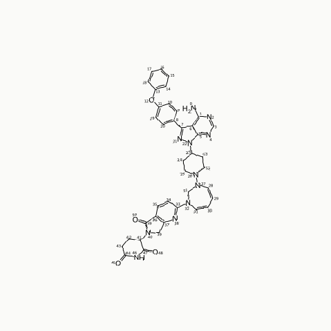 Nc1ncnc2c1c(-c1ccc(Oc3ccccc3)cc1)nn2C1CCN(N2C=CC=CN(c3ccc4c(n3)CN(C3CCC(=O)NC3=O)C4=O)C2)CC1